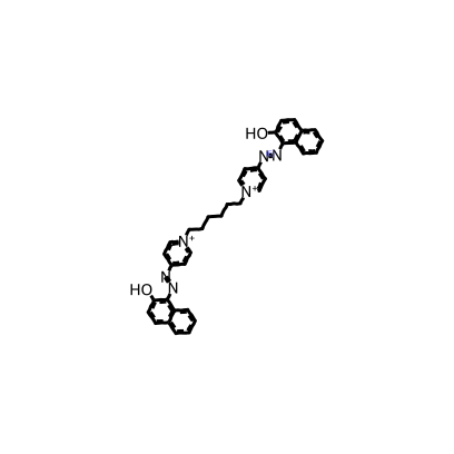 Oc1ccc2ccccc2c1N=Nc1cc[n+](CCCCCC[n+]2ccc(/N=N/c3c(O)ccc4ccccc34)cc2)cc1